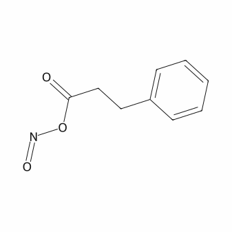 O=NOC(=O)CCc1ccccc1